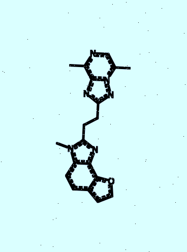 Cc1ncc(C)n2nc(CCc3nc4c5occc5ccc4n3C)nc12